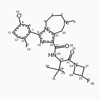 CN1CCCn2c(-c3cc(Cl)ccc3F)nc(C(=O)NC(C(=O)N3CC(F)C3)C(C)(C)C)c2C1